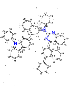 C1=CC(c2ccc(-c3nc(-n4c5ccccc5c5c6ccccc6c(-c6ccc7c8ccccc8n(-c8ccccc8)c7c6)cc54)nc4ccccc34)c3c2C=CCC3)=CCC1